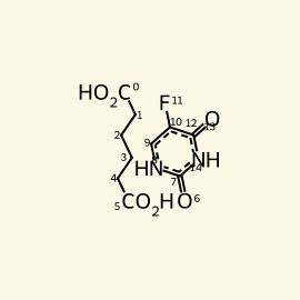 O=C(O)CCCCC(=O)O.O=c1[nH]cc(F)c(=O)[nH]1